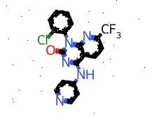 O=c1nc(Nc2ccncc2)c2ccc(C(F)(F)F)nc2n1-c1ccccc1Cl